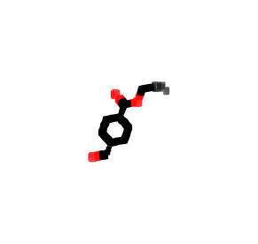 CCOC(=O)[C@H]1CC[C@H](C=O)CC1